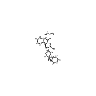 C=C/C=C\c1c(C)c(C)c(/C=C(\C=C)c2ccc3oc4ccccc4c3c2)c2ccccc12